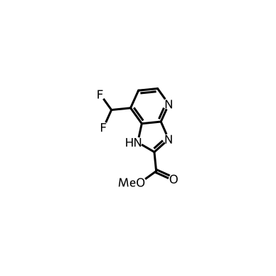 COC(=O)c1nc2nccc(C(F)F)c2[nH]1